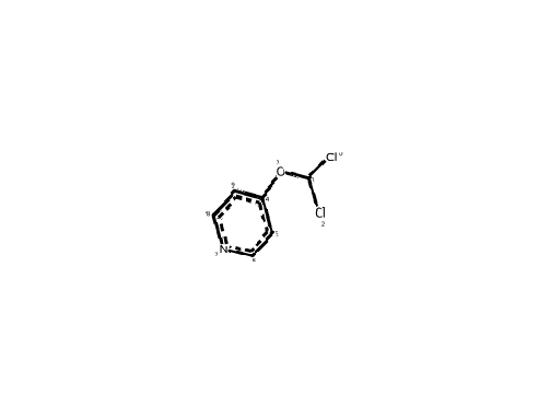 ClC(Cl)Oc1ccncc1